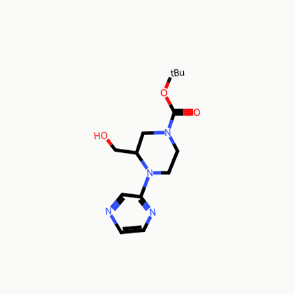 CC(C)(C)OC(=O)N1CCN(c2cnccn2)C(CO)C1